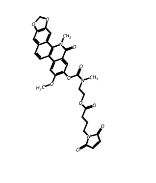 COc1cc2c(cc1OC(=O)N(C)CCOC(=O)CCCN1C(=O)C=CC1=O)c(=O)n(C)c1c3cc4c(cc3ccc21)OCO4